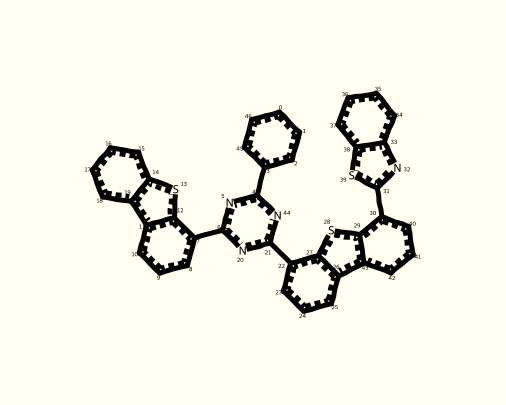 c1ccc(-c2nc(-c3cccc4c3sc3ccccc34)nc(-c3cccc4c3sc3c(-c5nc6ccccc6s5)cccc34)n2)cc1